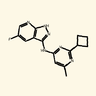 Cc1cc(Nc2n[nH]c3ncc(F)cc23)nc(C2CCC2)n1